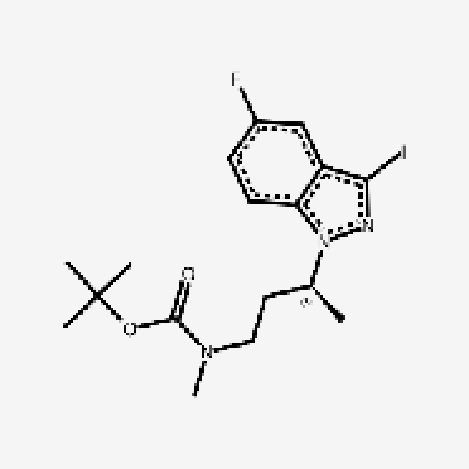 C[C@@H](CCN(C)C(=O)OC(C)(C)C)n1nc(I)c2cc(F)ccc21